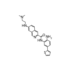 CN(C)CCNc1ccc2cc(C(=O)Nc3cc(-c4cccs4)ccc3N)ncc2c1